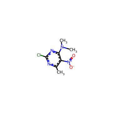 Cc1nc(Cl)nc(N(C)C)c1[N+](=O)[O-]